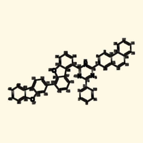 c1ccc(-c2nc(-c3ccc4c(ccc5ccccc54)c3)nc(-c3cccc4oc5c(-c6ccc7c(c6)oc6ccccc67)cccc5c34)n2)cc1